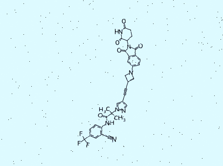 CC(C)(C(=O)Nc1ccc(C(F)(F)F)cc1C#N)n1cc(C#CC2CN(c3ccc4c(c3)C(=O)N(C3CCC(=O)NC3=O)C4=O)C2)cn1